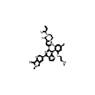 C=CC(=O)N1CCn2nc(-c3nc(-c4cnc5c(c4)CN(C)C5=O)c4ccsc4c3-c3c(F)cc(F)cc3OCCOC)cc2[C@H]1C